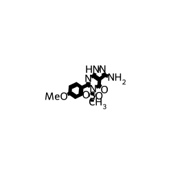 COc1ccc(-c2nc3[nH]nc(N)c3c(=O)n2S(C)(=O)=O)cc1